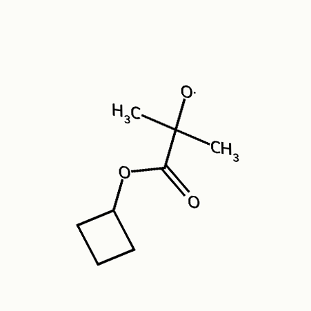 CC(C)([O])C(=O)OC1CCC1